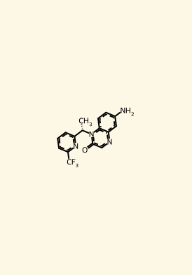 C[C@@H](c1cccc(C(F)(F)F)n1)n1c(=O)cnc2cc(N)ccc21